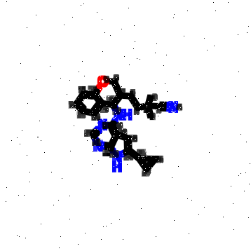 CC(C)(C#N)CCC1COc2ccccc2C1Nc1ncnc2[nH]c(C3CC3)cc12